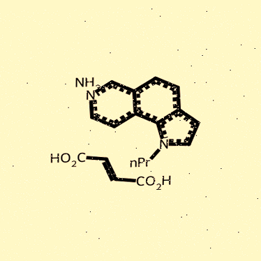 CCCn1ccc2ccc3cnccc3c21.N.O=C(O)C=CC(=O)O